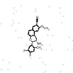 COc1cc2c3c(ccc2cc1C#N)O[C@H](c1cc(F)c(F)cc1C)[C@@H](N)C3